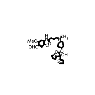 COc1cc(NC(=O)CCCN(C)C2CCC(OC(=O)C(O)(c3cccs3)c3cccs3)CC2)c(Cl)cc1C=O